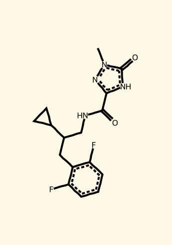 Cn1nc(C(=O)NCC(Cc2c(F)cccc2F)C2CC2)[nH]c1=O